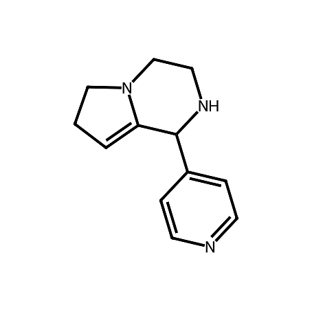 C1=C2C(c3ccncc3)NCCN2CC1